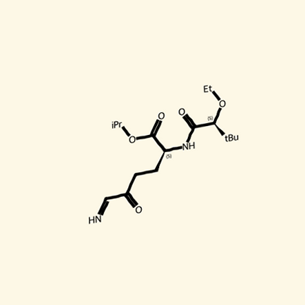 CCO[C@H](C(=O)N[C@@H](CCC(=O)C=N)C(=O)OC(C)C)C(C)(C)C